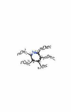 CCCCCCCCCCc1nc(CCCCCCCCCC)c(CCCCCCCCCC)c(CCCCCCCCCC)c1CCCCCCCCCC